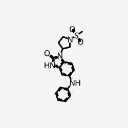 CS(=O)(=O)N1CCC(n2c(=O)[nH]c3cc(Nc4ccccc4)ccc32)C1